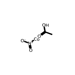 CC(=O)O.O=[N+]([O-])[Co]